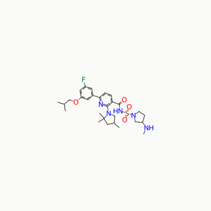 CNC1CCN(S(=O)(=O)NC(=O)c2ccc(-c3cc(F)cc(OCC(C)C)c3)nc2N2CC(C)CC2(C)C)C1